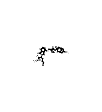 CNC(=O)C(CCC=O)N1Cc2c(OCc3cn(C4(C)CC5CC(C)CC(C5)C4)nn3)cccc2C1=O